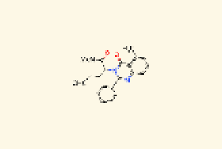 CNC(=O)C(CCC=O)n1c(-c2ccccc2)nc2cccc(C)c2c1=O